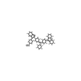 CC(C)(C)c1ccc(-n2c(-c3ccc(N(c4ccccc4)c4ccc(-n5c6ccccc6c6ccccc65)cc4)cc3)nc3ccccc32)cc1